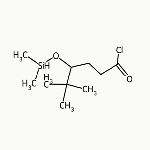 C[SiH](C)OC(CCC(=O)Cl)C(C)(C)C